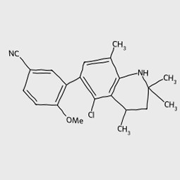 COc1ccc(C#N)cc1-c1cc(C)c2c(c1Cl)C(C)CC(C)(C)N2